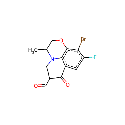 CC1COc2c(Br)c(F)cc3c2N1CC(C=O)C3=O